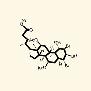 CC(=O)O[C@H]1C[C@H]2[C@@H]([C@H](OC(C)=O)C[C@@H]3[C@@H](Br)[C@H](O)[C@H](Br)[C@@H](O)[C@@]32C)[C@@H]2CC[C@H]([C@H](C)CCC(=O)OC(C)C)[C@@]12C